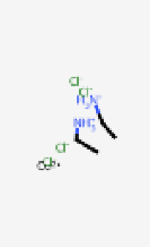 CC[NH3+].CC[NH3+].[Cl-].[Cl-].[Cl-].[Cl-].[Cu+2]